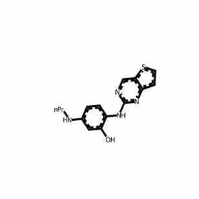 CCCNc1ccc(Nc2ncc3sccc3n2)c(O)c1